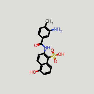 Cc1ccc(C(=O)Nc2ccc3c(O)cccc3c2S(=O)(=O)O)cc1N